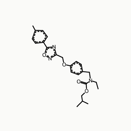 CCN(Cc1ccc(OCc2noc(-c3ccc(C)cc3)n2)cc1)C(=O)OCC(C)C